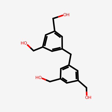 OCc1cc(CO)cc(Cc2cc(CO)cc(CO)c2)c1